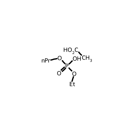 CC(=O)O.CCCOP(=O)(O)OCC